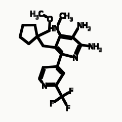 CNc1c(N)c(N)nc(-c2ccnc(C(F)(F)F)c2)c1CC1(COC)CCCC1